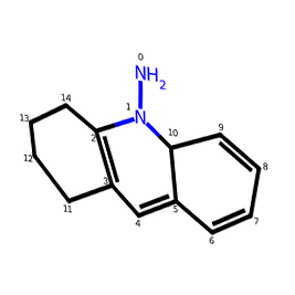 NN1C2=C(C=C3C=CC=CC31)CCCC2